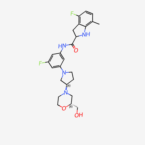 Cc1ccc(F)c2c1NC(C(=O)Nc1cc(F)cc(N3CC[C@@H](N4CCO[C@@H](CO)C4)C3)c1)C2